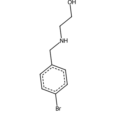 OCCNCc1ccc(Br)cc1